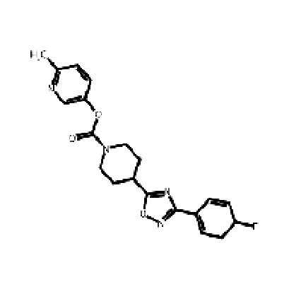 Cc1ccc(OC(=O)N2CCC(c3nc(C4=CCC(F)C=C4)no3)CC2)cn1